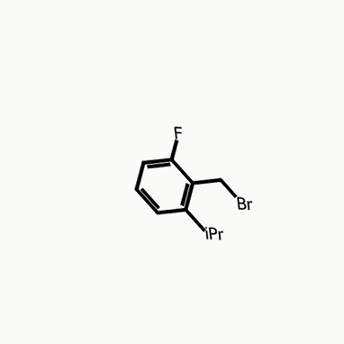 CC(C)c1cccc(F)c1CBr